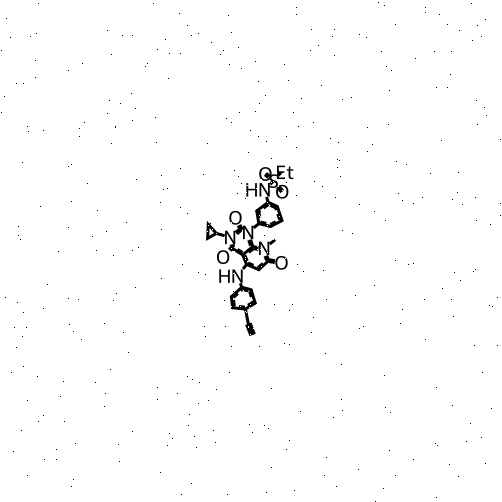 C#Cc1ccc(Nc2cc(=O)n(C)c3c2c(=O)n(C2CC2)c(=O)n3-c2cccc(NS(=O)(=O)CC)c2)cc1